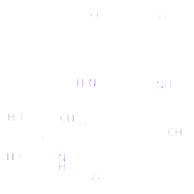 CC(CCS(=O)(=O)NC(C)(C)C)Nc1c(N)c(=O)c1=O